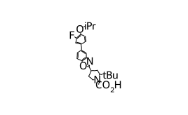 CC(C)Oc1ccc(-c2ccc3oc(C4CCN(C(=O)O)C(C(C)(C)C)C4)nc3c2)cc1F